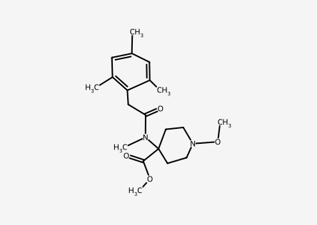 COC(=O)C1(N(C)C(=O)Cc2c(C)cc(C)cc2C)CCN(OC)CC1